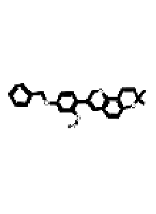 CC(C)Oc1cc(OCc2ccccc2)ccc1C1=Cc2ccc3c(c2OC1)C=CC(C)(C)O3